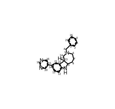 c1ccc(CN2CCCC3Nc4ccc(-c5cncnc5)cc4[C@@H]3C2)cc1